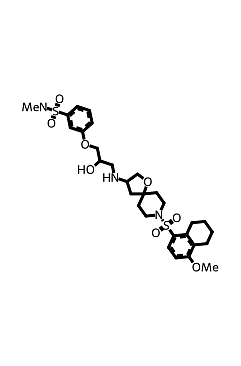 CNS(=O)(=O)c1cccc(OCC(O)CNC2COC3(CCN(S(=O)(=O)c4ccc(OC)c5c4CCCC5)CC3)C2)c1